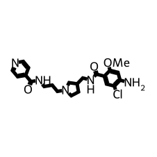 COc1cc(N)c(Cl)cc1C(=O)NCC1CCN(CCCNC(=O)c2ccncc2)C1